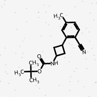 Cc1ccc(C#N)c(C2CC(NC(=O)OC(C)(C)C)C2)c1